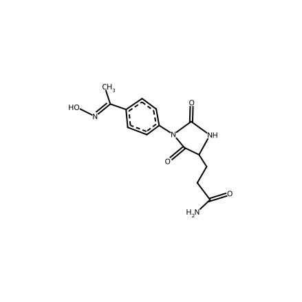 CC(=NO)c1ccc(N2C(=O)NC(CCC(N)=O)C2=O)cc1